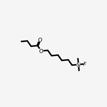 CCCC(=O)OCCCCCC[Si](C)(C)F